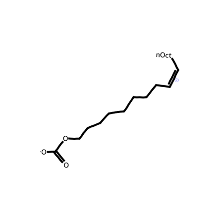 CCCCCCCC/C=C\CCCCCCCCOC([O])=O